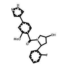 COc1cc(-c2cn[nH]c2)ccc1C(=O)N1CC(O)CC1c1ccccc1F